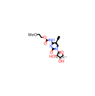 C#Cc1cn([C@@H]2O[C@H](C)[C@@H](O)[C@H]2O)c(=O)nc1NC(=O)OCCOC